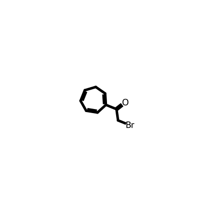 O=C(CBr)C1=CCC=CC=C1